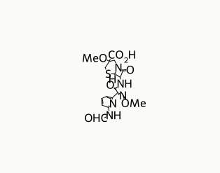 CON=C(C(=O)NC1C(=O)N2CC(OC)(C(=O)O)CS[C@H]12)c1cccc(NC=O)n1